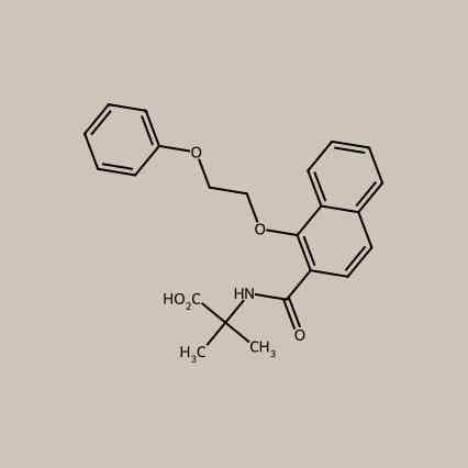 CC(C)(NC(=O)c1ccc2ccccc2c1OCCOc1ccccc1)C(=O)O